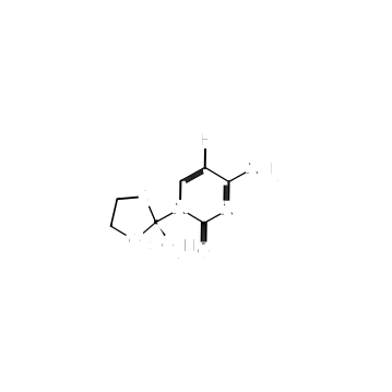 Nc1nc(=O)n([C@]2(C(=O)O)OCCS2)cc1F